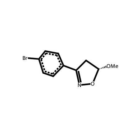 CO[C@H]1CC(c2ccc(Br)cc2)=NO1